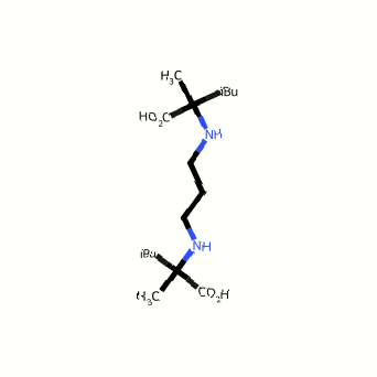 CCC(C)C(C)(NCCCNC(C)(C(=O)O)C(C)CC)C(=O)O